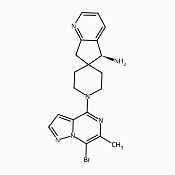 Cc1nc(N2CCC3(CC2)Cc2ncccc2[C@H]3N)c2ccnn2c1Br